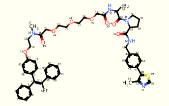 CC/C(=C(\c1ccccc1)c1ccc(OCCN(C)C(=O)COCCOCCOCC(=O)NC(C(=O)N2CCCC2C(=O)NCc2ccc(-c3scnc3C)cc2)C(C)(C)C)cc1)c1ccccc1